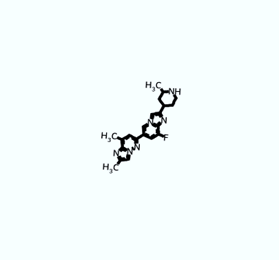 Cc1cn2nc(-c3cc(F)c4nc(C5CCNC(C)C5)cn4c3)cc(C)c2n1